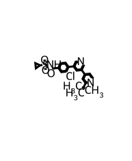 CC(C)(C)c1cc(-c2cncc(-c3ccc(C(=O)NS(=O)(=O)C4CC4)cc3Cl)c2)ccn1